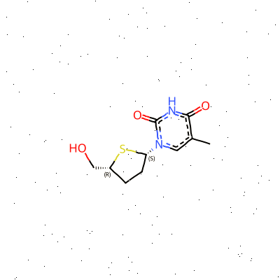 Cc1cn([C@@H]2CC[C@H](CO)S2)c(=O)[nH]c1=O